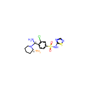 N[C@@H](c1ccc(S(=O)(=O)Nc2ncns2)cc1Cl)N1CCCC[C@H]1P